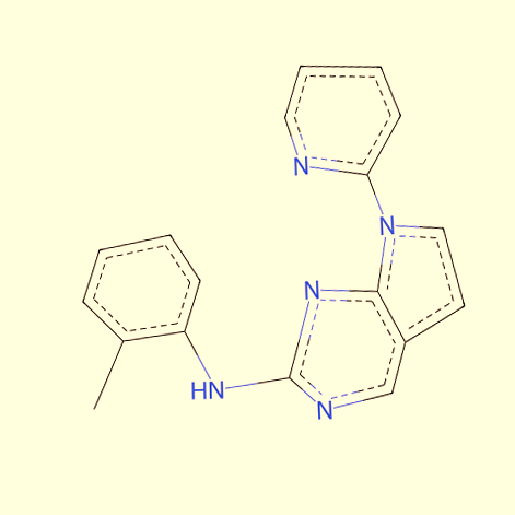 Cc1ccccc1Nc1ncc2ccn(-c3ccccn3)c2n1